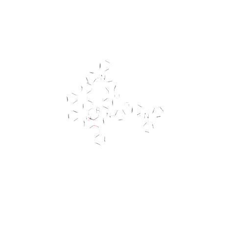 c1ccc(-c2cc3c4c(c2)-n2c5ccc6c7cc(-n8c9ccccc9c9ccccc98)ccc7oc6c5c5c6oc7ccc(-n8c9ccccc9c9ccccc98)cc7c6cc(c52)B4c2cc(-c4ccccc4-c4ccccc4)cc(-c4ccccc4-c4ccccc4)c2O3)cc1